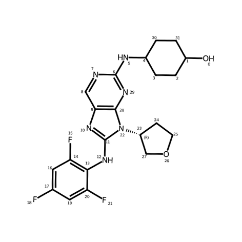 OC1CCC(Nc2ncc3nc(Nc4c(F)cc(F)cc4F)n([C@@H]4CCOC4)c3n2)CC1